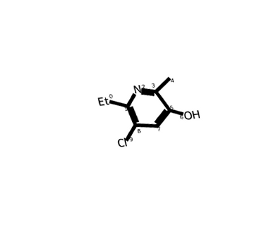 CCc1nc(C)c(O)cc1Cl